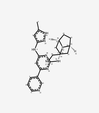 Cc1cc(Nc2cc(-c3cccnc3)nc(N[C@@H]3C[C@H]4CC[C@@H](C3)N4CCC#N)n2)n[nH]1